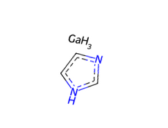 [GaH3].c1c[nH]cn1